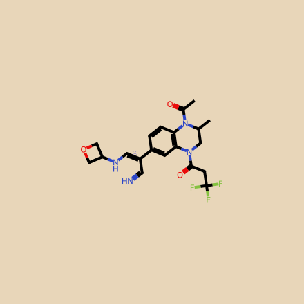 CC(=O)N1c2ccc(/C(C=N)=C/NC3COC3)cc2N(C(=O)CC(F)(F)F)CC1C